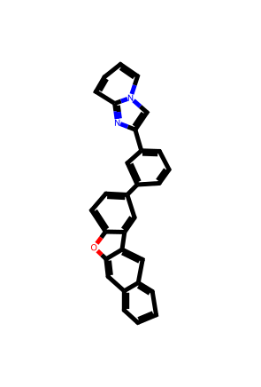 c1cc(-c2ccc3oc4cc5ccccc5cc4c3c2)cc(-c2cn3ccccc3n2)c1